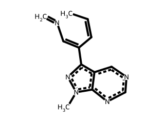 C=N/C=C(\C=C/C)c1nn(C)c2ncncc12